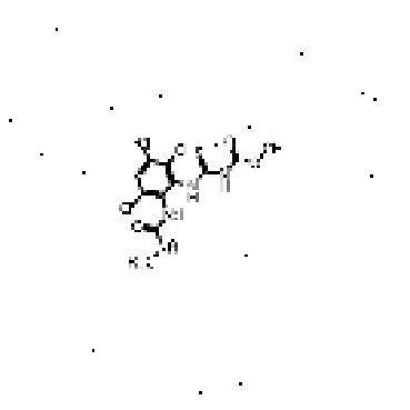 CNC(=O)Nc1c(Cl)cc(Cl)c(Cl)c1NC(=S)NC(=O)OC